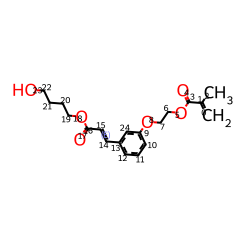 C=C(C)C(=O)OCCOc1cccc(/C=C/C(=O)OCCCCO)c1